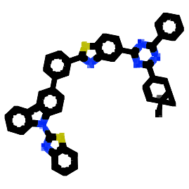 C1=C[C@H]2CC2C=C1c1nc(-c2ccccc2)nc(-c2ccc3sc(-c4cccc(-c5ccc6c(c5)c5ccccc5n6-c5nc6ccccc6s5)c4)nc3c2)n1